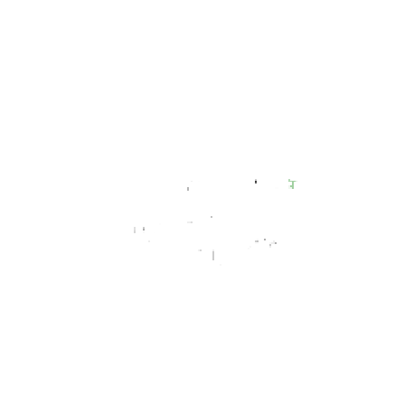 C=C(C(=O)OCC)c1c(F)ccc(Br)c1OC